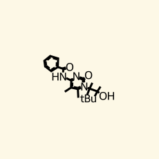 Cc1c(NC(=O)c2ccccc2)nc(=O)n(C(C)(C)C(C)(O)C(C)(C)C)c1C